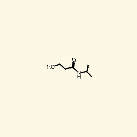 CC(C)NC(=O)CCO